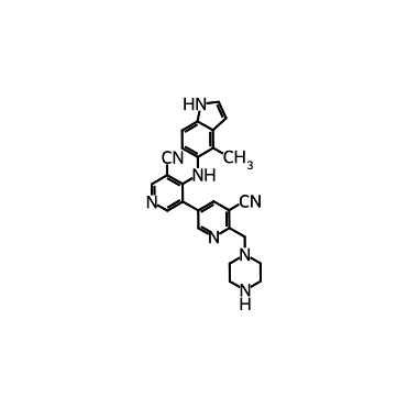 Cc1c(Nc2c(C#N)cncc2-c2cnc(CN3CCNCC3)c(C#N)c2)ccc2[nH]ccc12